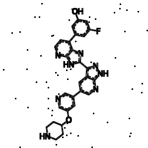 Oc1cc(F)cc(-c2ccnc3[nH]c(-c4n[nH]c5ncc(-c6cncc(OC7CCNCC7)c6)cc45)nc23)c1